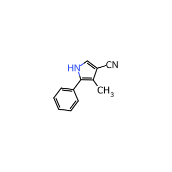 Cc1c(C#N)c[nH]c1-c1ccccc1